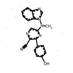 CN(c1cnc(C#N)c(-c2ccc(O)cc2)n1)n1cnc2ccccc21